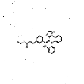 CCOC(=O)COc1cccc(C(=O)Nc2ccccc2Sc2ccccc2-c2nnn[nH]2)c1